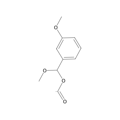 COc1cccc(C(OC)O[C]=O)c1